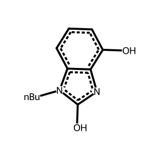 CCCCn1c(O)nc2c(O)cccc21